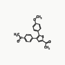 COc1ccc(-c2sc(C(C)=O)cc2-c2ccc([S+](C)[O-])cc2)cc1